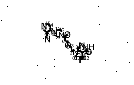 CN(CCOCCC(=O)N1CCN(c2ccncc2C#N)CC1)c1cn[nH]c(=O)c1C(F)(F)F